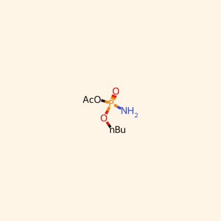 CCCCOP(N)(=O)OC(C)=O